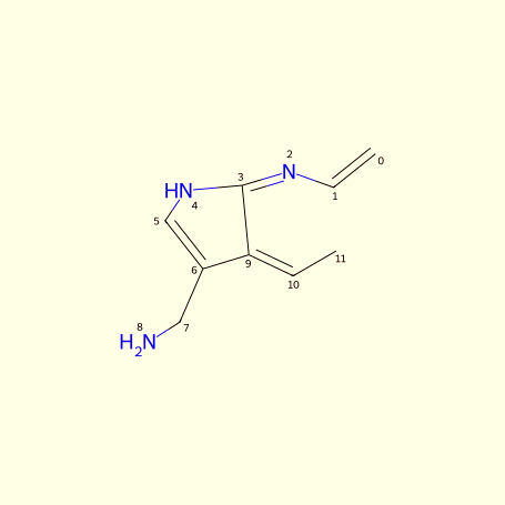 C=C/N=C1/NC=C(CN)/C1=C/C